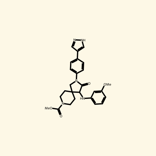 COC(=O)N1CCC2(CC1)CN(c1ccc(-c3cn[nH]c3)cc1)C(=O)C2Nc1cccc(OC)c1